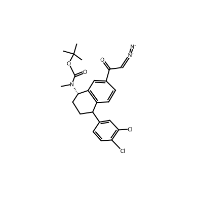 CN(C(=O)OC(C)(C)C)[C@H]1CCC(c2ccc(Cl)c(Cl)c2)c2ccc(C(=O)C=[N+]=[N-])cc21